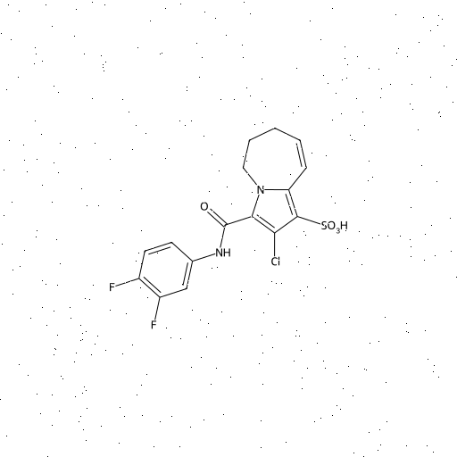 O=C(Nc1ccc(F)c(F)c1)c1c(Cl)c(S(=O)(=O)O)c2n1CCCC=C2